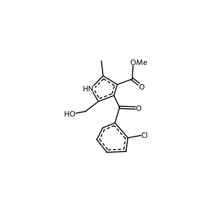 COC(=O)c1c(C)[nH]c(CO)c1C(=O)c1ccccc1Cl